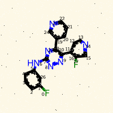 Fc1cccc(Nc2nnc(-c3ccncc3F)c(-c3cccnc3)n2)c1